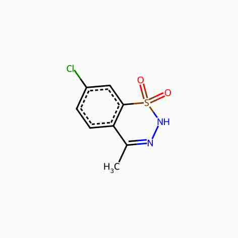 CC1=NNS(=O)(=O)c2cc(Cl)ccc21